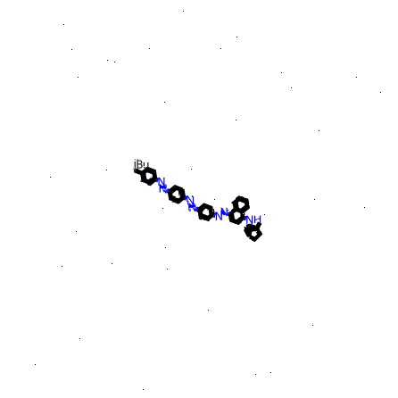 CCC(C)Cc1ccc(N=Nc2ccc(N=Nc3ccc(N=Nc4ccc(NC5CC6CCC5(C)C6(C)C)c5ccccc45)cc3)cc2)cc1